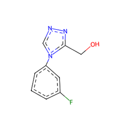 OCc1nncn1-c1cccc(F)c1